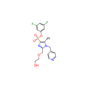 CC(C)c1c(S(=O)(=O)Oc2cc(F)cc(F)c2)nc(COCCO)n1Cc1ccncc1